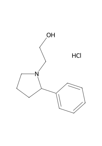 Cl.OCCN1CCCC1c1ccccc1